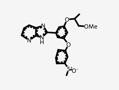 COCC(C)Oc1cc(Oc2cccc([S+](C)[O-])c2)cc(-c2nc3cccnc3[nH]2)c1